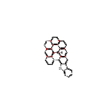 c1ccc(-c2ccccc2Nc2ccccc2-c2ccccc2N(c2ccccc2)c2ccccc2-c2cccc3c2oc2ccccc23)cc1